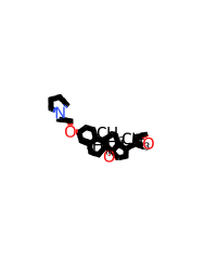 C[C@]12CCC(OCCN3CCCC3)C=C1CC[C@@H]1[C@H]2CC[C@]2(C)C(c3ccoc3)CC3O[C@]312